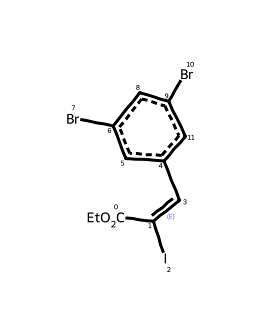 CCOC(=O)/C(I)=C\c1cc(Br)cc(Br)c1